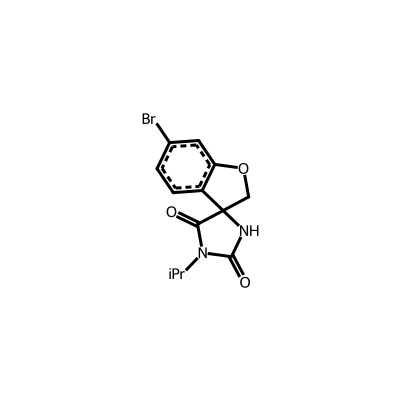 CC(C)N1C(=O)NC2(COc3cc(Br)ccc32)C1=O